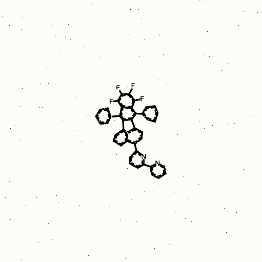 Fc1c(F)c(F)c2c(-c3ccccc3)c3c(c(-c4ccccc4)c2c1F)-c1cccc2c(-c4cccc(-c5ccccn5)n4)ccc-3c12